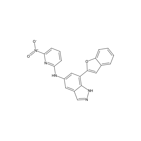 O=[N+]([O-])c1cccc(Nc2cc(-c3cc4ccccc4o3)c3[nH]ncc3c2)n1